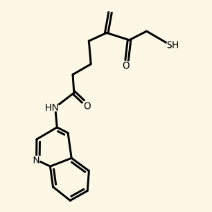 C=C(CCCC(=O)Nc1cnc2ccccc2c1)C(=O)CS